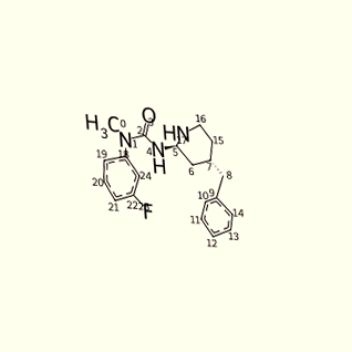 CN(C(=O)N[C@@H]1C[C@@H](Cc2ccccc2)CCN1)c1cccc(F)c1